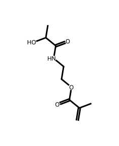 C=C(C)C(=O)OCCNC(=O)C(C)O